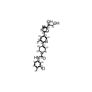 Cc1ccc(NC(=O)N2CC=C(c3ncc(-c4nnc([C@H](O)CO)o4)cc3C)CC2)cc1Cl